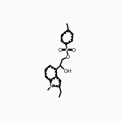 CCc1cc2c(C(O)COS(=O)(=O)c3ccc(C)cc3)cccc2n1C